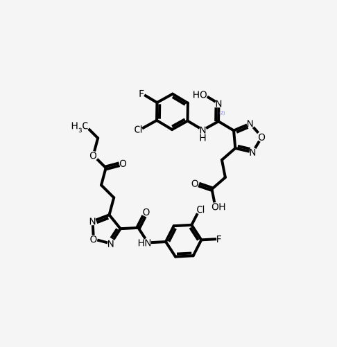 CCOC(=O)CCc1nonc1C(=O)Nc1ccc(F)c(Cl)c1.O=C(O)CCc1nonc1/C(=N/O)Nc1ccc(F)c(Cl)c1